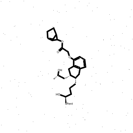 CCCCC[C@@H](O)CCC[C@H]1Cc2cccc(OCC(=O)OC3CC4CCC3C4)c2C[C@H]1C[C@H](C)O